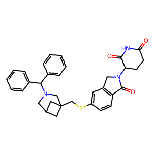 O=C1CCC(N2Cc3cc(SCC45CC(CN(C(c6ccccc6)c6ccccc6)C4)C5)ccc3C2=O)C(=O)N1